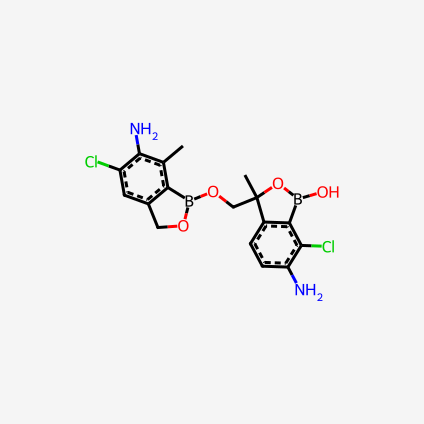 Cc1c(N)c(Cl)cc2c1B(OCC1(C)OB(O)c3c1ccc(N)c3Cl)OC2